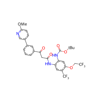 COc1ccc(-c2cccc(C(=O)CC(=O)Nc3cc(C(F)(F)F)c(OCC(F)(F)F)cc3NC(=O)OC(C)(C)C)c2)cn1